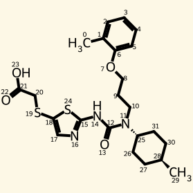 Cc1ccccc1OCCCN(C(=O)Nc1ncc(SCC(=O)O)s1)[C@H]1CC[C@H](C)CC1